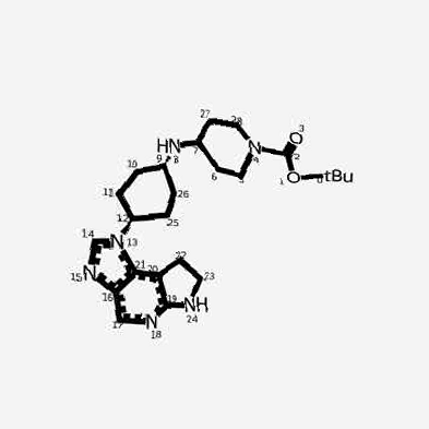 CC(C)(C)OC(=O)N1CCC(N[C@H]2CC[C@H](n3cnc4cnc5c(c43)CCN5)CC2)CC1